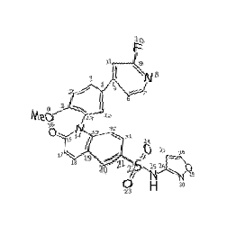 COc1ccc(-c2ccnc(F)c2)cc1-n1c(=O)ccc2cc(S(=O)(=O)Nc3ccon3)ccc21